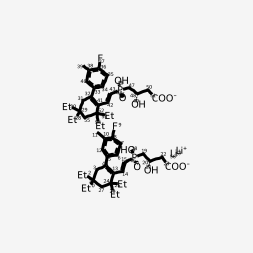 CCC1(CC)CC(c2ccc(F)c(C)c2)=C(/C=C/P(=O)(O)C[C@@H](O)CC(=O)[O-])C(CC)(CC)C1.CCC1(CC)CC(c2ccc(F)c(C)c2)=C(/C=C/P(=O)(O)C[C@@H](O)CC(=O)[O-])C(CC)(CC)C1.[Li+].[Li+]